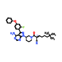 CC(C)(C)CCC/C=C(\C#N)C(=O)N1CCCC(n2nc(-c3ccc(Oc4ccccc4)cc3F)c3c(N)ncnc32)C1